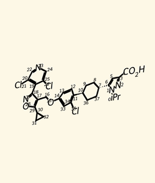 CC(C)n1nc(C(=O)O)cc1[C@H]1CC[C@H](c2ccc(OCc3c(-c4c(Cl)cncc4Cl)noc3C3CC3)cc2Cl)CC1